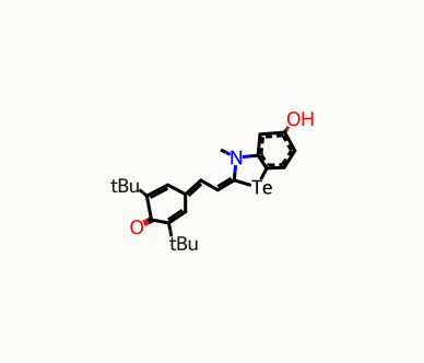 CN1C(=CC=C2C=C(C(C)(C)C)C(=O)C(C(C)(C)C)=C2)[Te]c2ccc(O)cc21